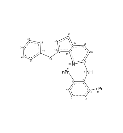 CCCc1cccc(CCC)c1Nc1ccc2ccn(Cc3ccccc3)c2n1